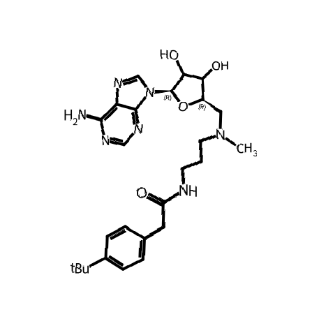 CN(CCCNC(=O)Cc1ccc(C(C)(C)C)cc1)C[C@H]1O[C@@H](n2cnc3c(N)ncnc32)C(O)C1O